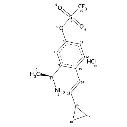 C[C@H](N)c1cc(OS(=O)(=O)C(F)(F)F)ccc1/C=C/C1CC1.Cl